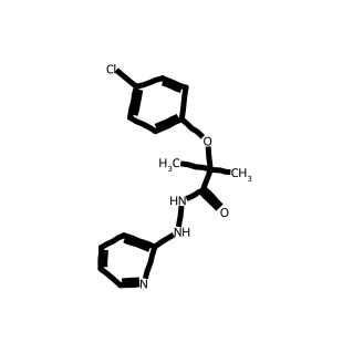 CC(C)(Oc1ccc(Cl)cc1)C(=O)NNc1ccccn1